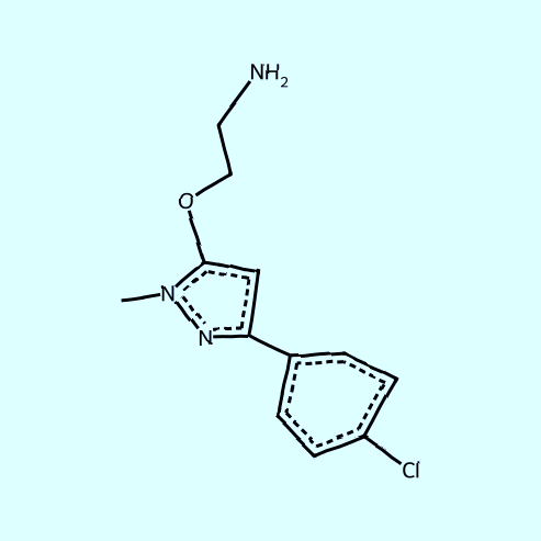 Cn1nc(-c2ccc(Cl)cc2)cc1OCCN